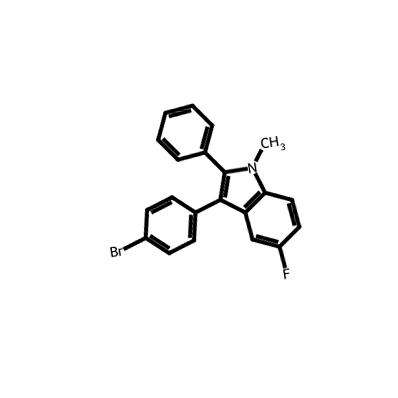 Cn1c(-c2ccccc2)c(-c2ccc(Br)cc2)c2cc(F)ccc21